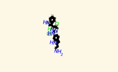 Cl.NCCc1cc2ccc(Nc3ncc(Cl)c(-c4c[nH]c5ccccc45)n3)cc2[nH]1